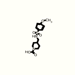 COc1ccc(S(=O)(=O)NCC2CCN(C(=O)O)CC2)cc1